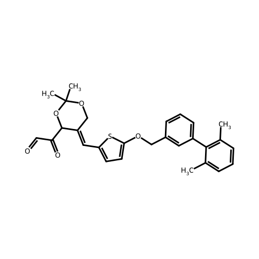 Cc1cccc(C)c1-c1cccc(COc2ccc(C=C3COC(C)(C)OC3C(=O)C=O)s2)c1